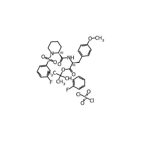 COc1ccc(C[C@H](NC(=O)[C@@H]2CCCCN2S(=O)(=O)c2cccc(F)c2)C(=O)OC(C)(C)C)cc1.Fc1ccccc1.O=S(=O)(Cl)Cl